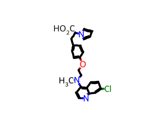 CN(CCOc1ccc(CC(C(=O)O)n2cccc2)cc1)c1ccnc2cc(Cl)ccc12